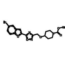 CC(C)(C)OC(=O)N1CCC(OCc2noc(-c3cc4cc(Br)ccc4o3)n2)CC1